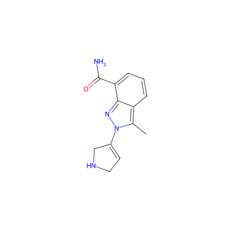 Cc1c2cccc(C(N)=O)c2nn1C1=CCNC1